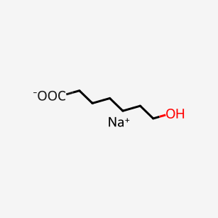 O=C([O-])CCCCCCO.[Na+]